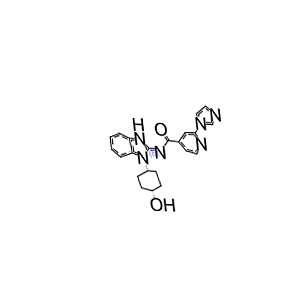 O=C(/N=c1\[nH]c2ccccc2n1[C@H]1CC[C@@H](O)CC1)c1ccnc(-n2ccnc2)c1